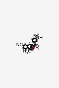 C[C@@H]1C2Cc3cc(C#N)ccc3[C@]1(C)CCN2C(=O)c1ccc2nc[nH]c2c1